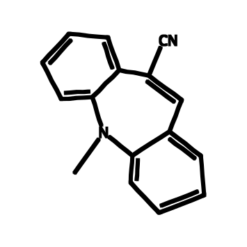 CN1c2ccccc2C=C(C#N)c2ccccc21